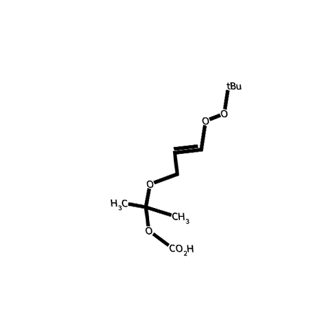 CC(C)(C)OOC=CCOC(C)(C)OC(=O)O